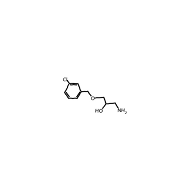 NCC(O)COCc1cccc(Cl)c1